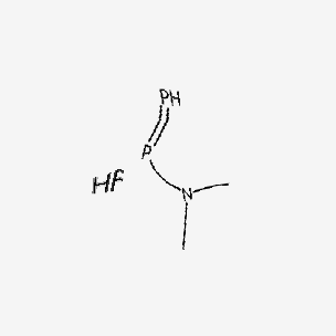 CN(C)P=P.F